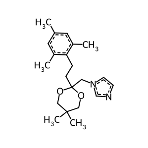 Cc1cc(C)c(CCC2(Cn3ccnc3)OCC(C)(C)CO2)c(C)c1